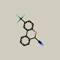 N#CC1Oc2ccc(C(F)(F)F)cc2-c2ccccc21